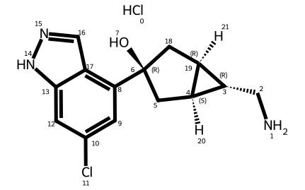 Cl.NC[C@@H]1[C@H]2C[C@](O)(c3cc(Cl)cc4[nH]ncc34)C[C@@H]12